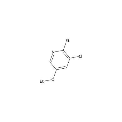 CCOc1cnc(CC)c(Cl)c1